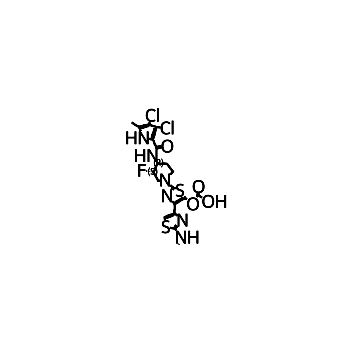 CNc1nc(-c2nc(N3CC[C@@H](NC(=O)c4[nH]c(C)c(Cl)c4Cl)[C@@H](F)C3)sc2OC(=O)O)cs1